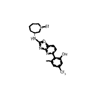 CCN1CCCC[C@@H](Nc2nc3nc(-c4c(C)cc(C(F)(F)F)cc4O)ccc3o2)C1